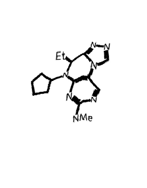 CCC1c2nncn2-c2cnc(NC)nc2N1C1CCCC1